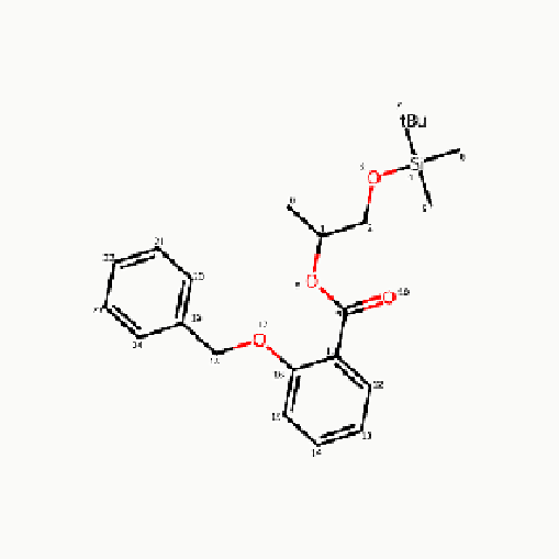 CC(CO[Si](C)(C)C(C)(C)C)OC(=O)c1ccccc1OCc1ccccc1